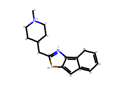 CN1CCC(Cc2nc3c(s2)=CC2=CC=CCC=32)CC1